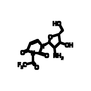 NC1C(O)[C@H](CO)O[C@@H]1n1ccc(=O)n(C(=O)C(F)(F)F)c1=O